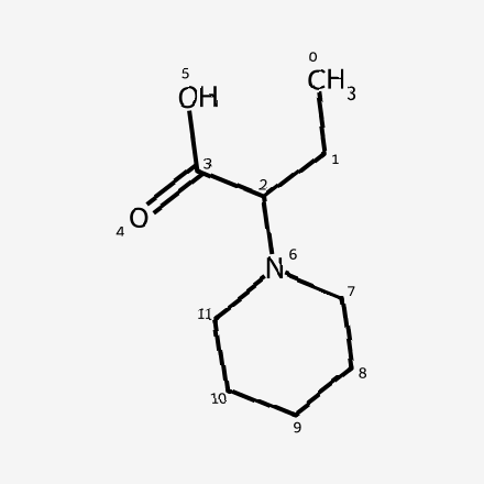 CCC(C(=O)O)N1CCCCC1